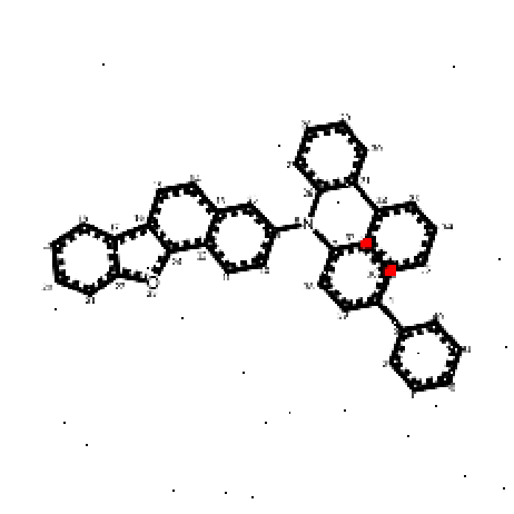 c1ccc(-c2ccc(N(c3ccc4c(ccc5c6ccccc6oc45)c3)c3ccccc3-c3ccccc3)cc2)cc1